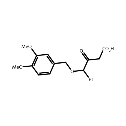 CCC(OCc1ccc(OC)c(OC)c1)C(=O)CC(=O)O